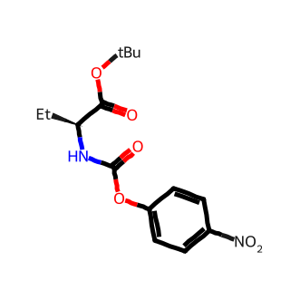 CC[C@H](NC(=O)Oc1ccc([N+](=O)[O-])cc1)C(=O)OC(C)(C)C